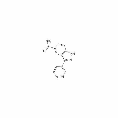 NC(=O)c1ccc2[nH]nc(-c3ccnnc3)c2c1